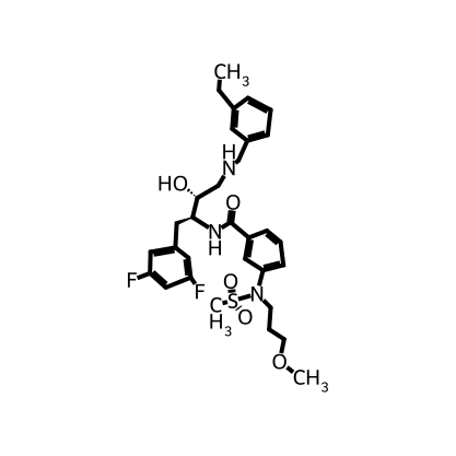 CCc1cccc(CNC[C@@H](O)[C@H](Cc2cc(F)cc(F)c2)NC(=O)c2cccc(N(CCCOC)S(C)(=O)=O)c2)c1